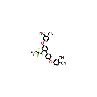 N#Cc1ccc(Oc2ccc(-c3ccc(Oc4ccc(C#N)c(C#N)c4)cc3C(F)C(F)(F)C(F)(F)F)cc2)cc1C#N